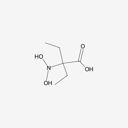 CCC(CC)(C(=O)O)N(O)O